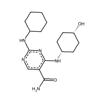 NC(=O)c1cnc(NC2CCCCC2)nc1N[C@H]1CC[C@@H](O)CC1